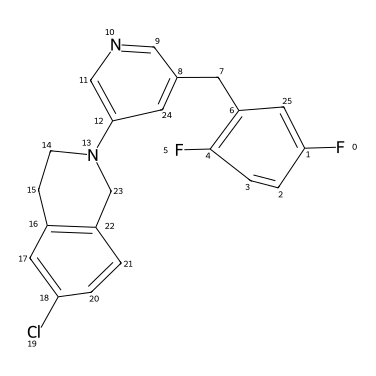 Fc1ccc(F)c(Cc2cncc(N3CCc4cc(Cl)ccc4C3)c2)c1